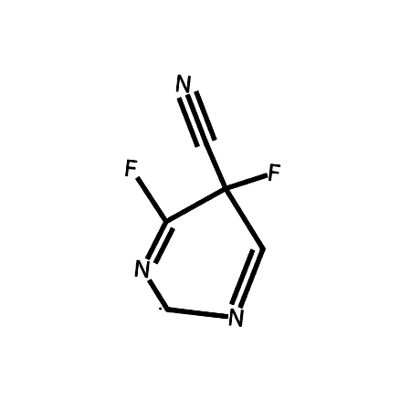 N#CC1(F)C=N[CH]N=C1F